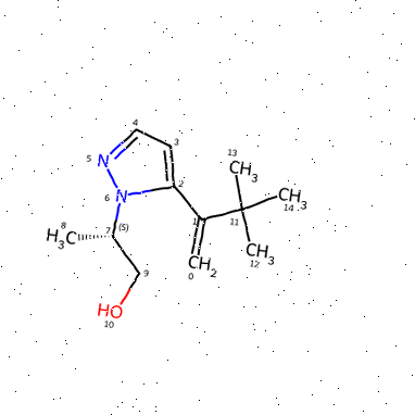 C=C(c1ccnn1[C@@H](C)CO)C(C)(C)C